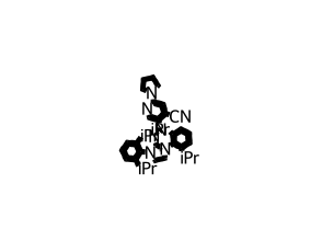 CC(C)c1cccc(C(C)C)c1N1CC[N+](c2c(C(C)C)cccc2C(C)C)=C1/N=N/c1cnc(N2CCCC2)cc1C#N